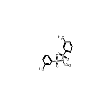 CCCCCCCCN(S(=O)(=O)c1cccc(C)c1)S(=O)(=O)c1cccc(O)c1